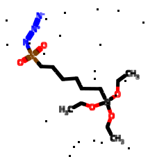 CCO[Si](CCCCCCS(=O)(=O)N=[N+]=[N-])(OCC)OCC